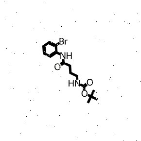 CC(C)(C)OC(=O)NCCCC(=O)Nc1ccccc1Br